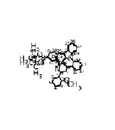 COc1ccccc1-c1cc(-c2ccccc2-n2c3ccccc3c3ccccc32)cc(-c2cccc(B3OC(C)(C)C(C)(C)O3)c2)n1